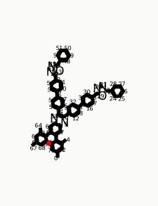 Cc1cc(C)c(-c2cc3nc(-c4ccc(-c5ccc(-c6nnc(-c7ccccc7)o6)cc5)cc4)c(-c4ccc(-c5ccc(-c6nnc(-c7ccccc7)o6)cc5)cc4)nc3cc2-c2c(C)cc(C)cc2C)c(C)c1